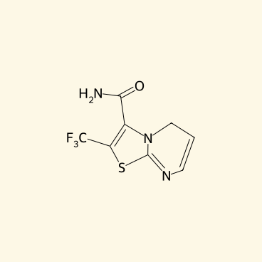 NC(=O)C1=C(C(F)(F)F)SC2=NC=CCN21